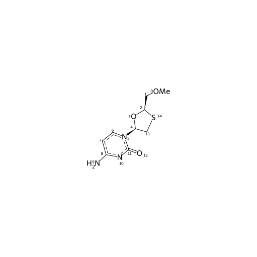 COC[C@@H]1O[C@H](n2ccc(N)nc2=O)CS1